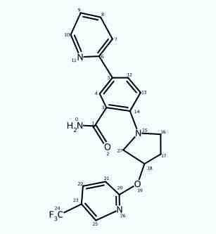 NC(=O)c1cc(-c2ccccn2)ccc1N1CCC(Oc2ccc(C(F)(F)F)cn2)C1